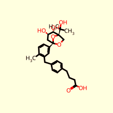 Cc1ccc([C@]23C[C@@H](O)[C@H](O)[C@](C(C)(C)O)(CO2)O3)cc1Cc1ccc(CCCC(=O)O)cc1